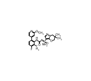 COc1cc(-c2ccc(F)c(C)c2NC(=O)N=[S@@](N)(=O)c2cnn3c2OCC(C)(C)C3)ccn1